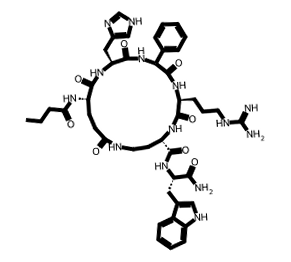 CCCC(=O)N[C@H]1CCC(=O)NCC[C@@H](C(=O)N[C@@H](Cc2c[nH]c3ccccc23)C(N)=O)NC(=O)[C@H](CCCNC(=N)N)NC(=O)C(c2ccccc2)NC(=O)[C@H](Cc2c[nH]cn2)NC1=O